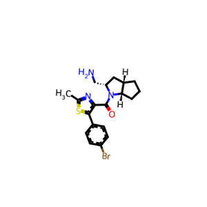 Cc1nc(C(=O)N2[C@H](CN)C[C@@H]3CCC[C@@H]32)c(-c2ccc(Br)cc2)s1